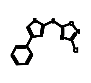 Clc1noc(Sc2cc(-c3ccccc3)cs2)n1